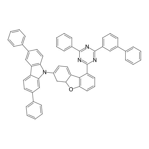 C1=C2c3c(cccc3-c3nc(-c4ccccc4)nc(-c4cccc(-c5ccccc5)c4)n3)OC2CC(n2c3ccc(-c4ccccc4)cc3c3ccc(-c4ccccc4)cc32)=C1